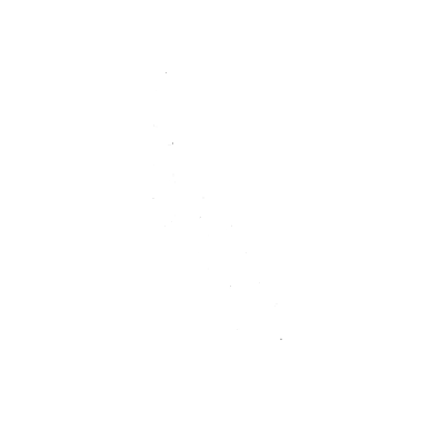 CCCCCOc1ccc(-c2ccc(C3=CCC(CC)CC3)cc2)cc1